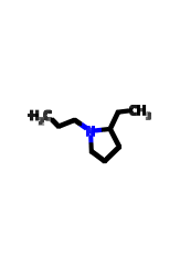 [CH2]CCN1CCCC1CC